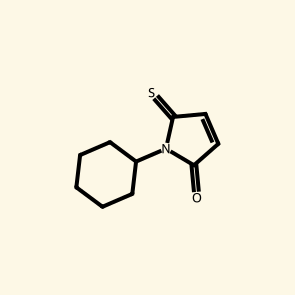 O=C1C=CC(=S)N1C1CCCCC1